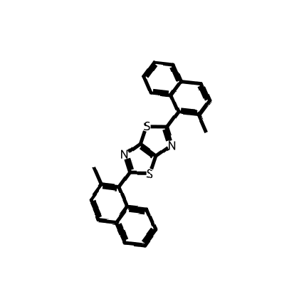 Cc1ccc2ccccc2c1-c1nc2sc(-c3c(C)ccc4ccccc34)nc2s1